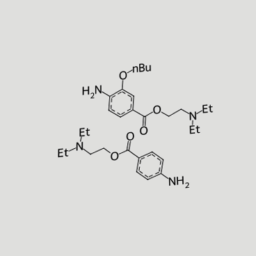 CCCCOc1cc(C(=O)OCCN(CC)CC)ccc1N.CCN(CC)CCOC(=O)c1ccc(N)cc1